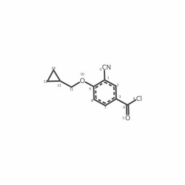 N#Cc1cc(C(=O)Cl)ccc1OCC1CC1